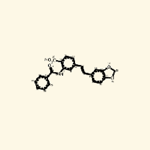 O=C(Nc1cc(C=Cc2ccc3c(c2)OCO3)ccc1C(=O)O)c1ccccc1